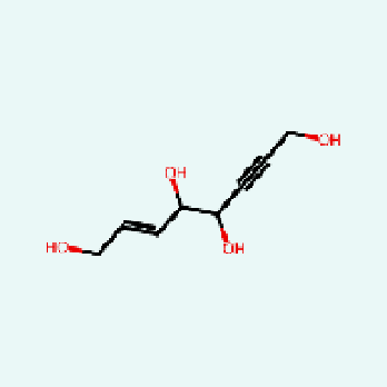 OCC#CC(O)C(O)C=CCO